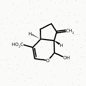 C=C1CC[C@@H]2C(C(=O)O)=COC(O)[C@@H]12